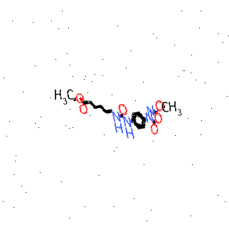 CCOC(=O)CCCCCNC(=O)Nc1ccc(-n2nc(OC)oc2=O)cc1